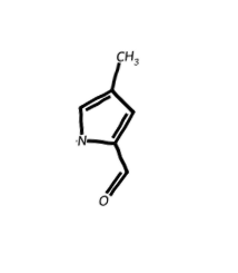 CC1=C[N]C(C=O)=C1